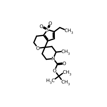 CCC1=CC2=C(CCOC23CCN(C(=O)OC(C)(C)C)C(C)C3)S1(=O)=O